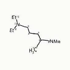 CCN(CC)CCCC(C)NC